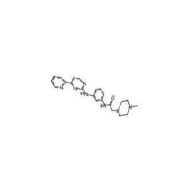 CN1CCN(CC(=O)Nc2cccc(Nc3nccc(-c4ccccn4)n3)c2)CC1